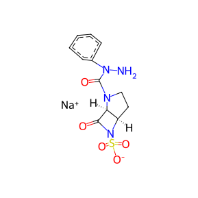 NN(C(=O)N1CC[C@@H]2[C@H]1C(=O)N2S(=O)(=O)[O-])c1ccccc1.[Na+]